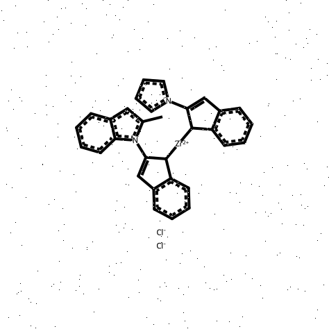 Cc1cc2ccccc2n1C1=Cc2ccccc2[CH]1[Zr+2][CH]1C(n2cccc2)=Cc2ccccc21.[Cl-].[Cl-]